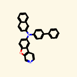 c1ccc(-c2ccc(N(c3ccc4ccccc4c3)c3ccc4oc5cnccc5c4c3)cc2)cc1